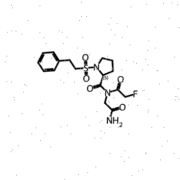 NC(=O)CN(C(=O)CF)C(=O)[C@@H]1CCCN1S(=O)(=O)CCc1ccccc1